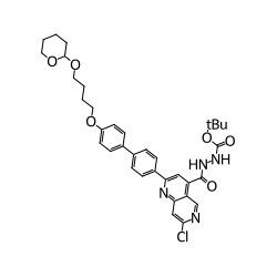 CC(C)(C)OC(=O)NNC(=O)c1cc(-c2ccc(-c3ccc(OCCCCOC4CCCCO4)cc3)cc2)nc2cc(Cl)ncc12